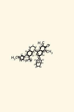 Cc1cc2c(N3CCCc4cc(-c5cnn(C)c5)c(C(F)F)cc43)nc(N3CC4CCC(C3)O4)cc2n(C)c1=O